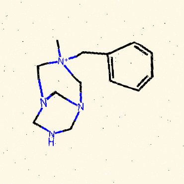 C[N+]1(Cc2ccccc2)CN2CNCN(C2)C1